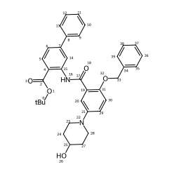 CC(C)(C)OC(=O)c1ccc(-c2ccccc2)cc1NC(=O)c1cc(N2CCC(O)CC2)ccc1OCc1ccccc1